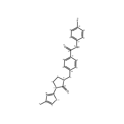 Cc1csc(N2CCN(Cc3ccc(C(=O)Nc4ccc(F)cc4)cc3)C2=O)n1